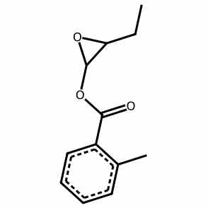 CCC1OC1OC(=O)c1ccccc1C